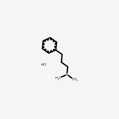 CN(C)CCCc1ccccc1.Cl